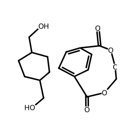 O=C1OCCOC(=O)c2ccc1cc2.OCC1CCC(CO)CC1